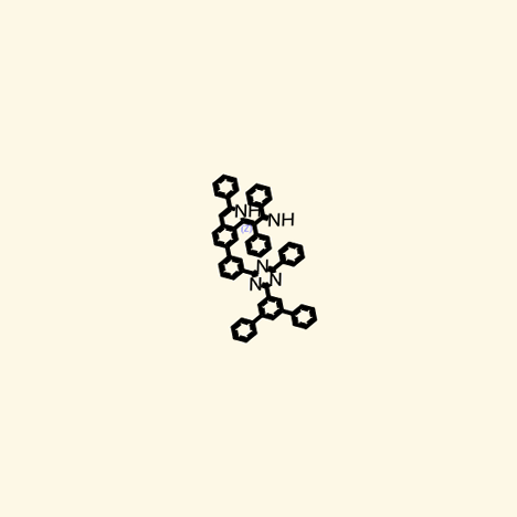 N=C(/C(=C1\NC(c2ccccc2)=Cc2ccc(-c3cccc(-c4nc(-c5ccccc5)nc(-c5cc(-c6ccccc6)cc(-c6ccccc6)c5)n4)c3)cc21)c1ccccc1)c1ccccc1